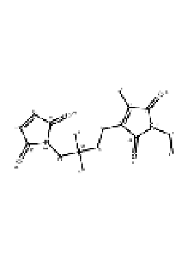 CCN1C(=O)C(C)=C(CCC(C)(C)CN2C(=O)C=CC2=O)C1=O